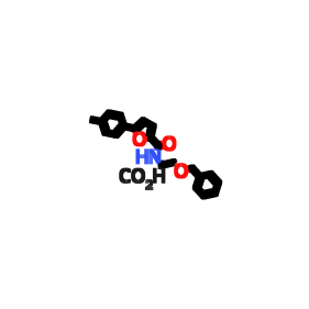 Cc1ccc(-c2ccc(C(=O)NC(COCc3ccccc3)C(=O)O)o2)cc1